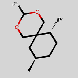 CC(C)C1OCC2(CO1)C[C@H](C)CC[C@H]2C(C)C